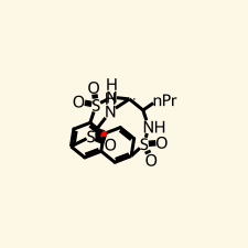 CCCC1NS(=O)(=O)c2ccc3c4cc(cc3c2)S(=O)(=O)N[C]1NS4(=O)=O